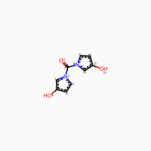 O=C(n1ccc(O)c1)n1ccc(O)c1